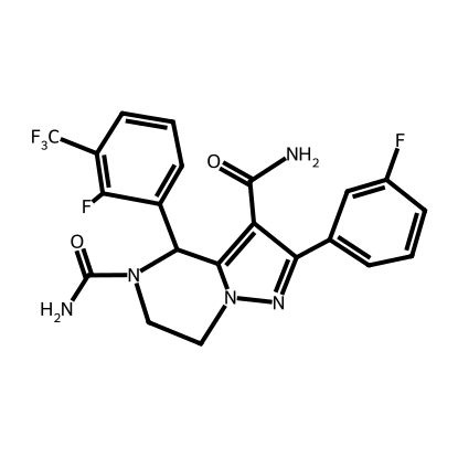 NC(=O)c1c(-c2cccc(F)c2)nn2c1C(c1cccc(C(F)(F)F)c1F)N(C(N)=O)CC2